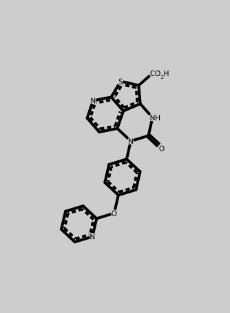 O=C(O)c1sc2nccc3c2c1NC(=O)N3c1ccc(Oc2ccccn2)cc1